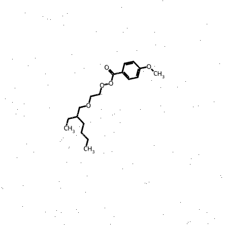 CCCCC(CC)COC[CH]OOC(=O)c1ccc(OC)cc1